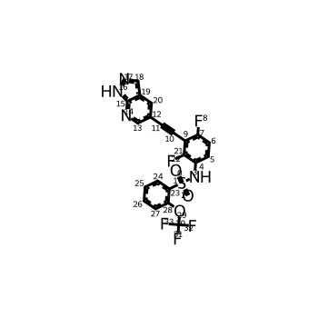 O=S(=O)(Nc1ccc(F)c(C#Cc2cnc3[nH]ncc3c2)c1F)c1ccccc1OC(F)(F)F